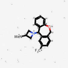 CNC1CN(C2c3cc(C(F)(F)F)ccc3COc3ccccc32)C1